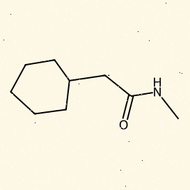 CNC(=O)[CH]C1CCCCC1